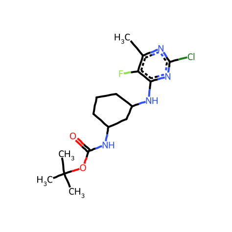 Cc1nc(Cl)nc(NC2CCCC(NC(=O)OC(C)(C)C)C2)c1F